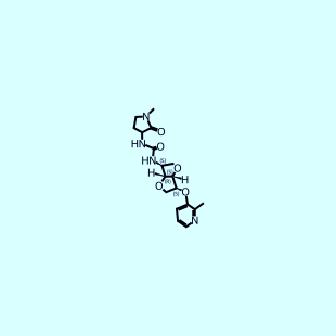 Cc1ncccc1O[C@H]1CO[C@H]2[C@@H]1OC[C@@H]2NC(=O)NC1CCN(C)C1=O